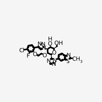 Cc1nc2ccc(-n3ncnc3[C@@H]3O[C@H](CO)[C@H](O)[C@H](n4cc(-c5ccc(Cl)c(F)c5)nn4)[C@H]3OCC=O)cc2s1